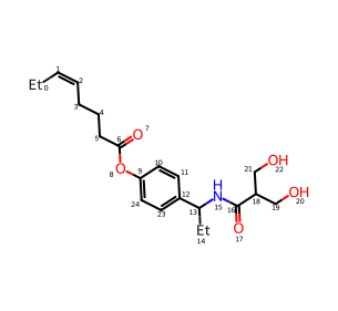 CC/C=C\CCCC(=O)Oc1ccc(C(CC)NC(=O)C(CO)CO)cc1